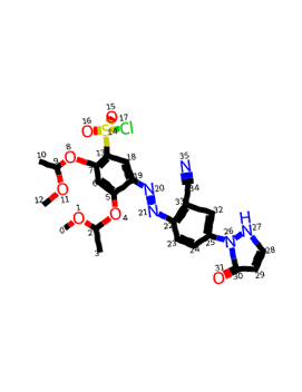 COC(C)Oc1cc(OC(C)OC)c(S(=O)(=O)Cl)cc1/N=N/c1ccc(-n2[nH]ccc2=O)cc1C#N